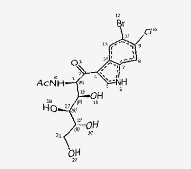 CC(=O)N[C@@H](C(=O)c1c[nH]c2cc(Cl)c(Br)cc12)[C@@H](O)[C@H](O)[C@H](O)CO